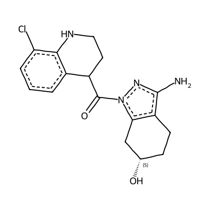 Nc1nn(C(=O)C2CCNc3c(Cl)cccc32)c2c1CC[C@H](O)C2